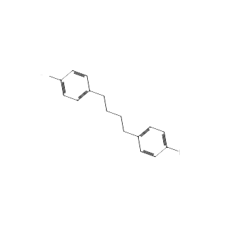 CCc1ccc(CCCCc2ccc(CC)cc2)cc1